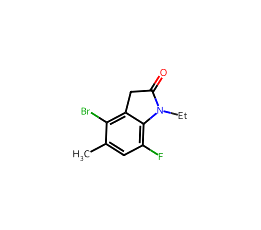 CCN1C(=O)Cc2c(Br)c(C)cc(F)c21